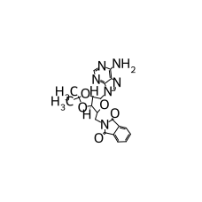 CC1(C)O[C@@H]2C(CN3C(=O)c4ccccc4C3=O)OC(n3cnc4c(N)ncnc43)[C@@H]2O1